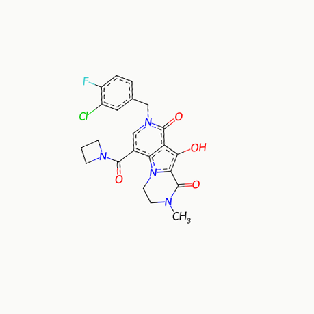 CN1CCn2c(c(O)c3c(=O)n(Cc4ccc(F)c(Cl)c4)cc(C(=O)N4CCC4)c32)C1=O